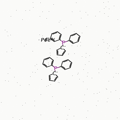 [Fe+2].[Pd+].c1ccc(P(c2ccccc2)[c-]2cccc2)cc1.c1ccc(P(c2ccccc2)[c-]2cccc2)cc1